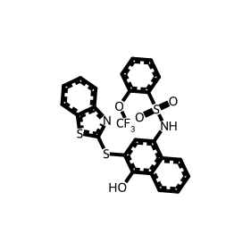 O=S(=O)(Nc1cc(Sc2nc3ccccc3s2)c(O)c2ccccc12)c1ccccc1OC(F)(F)F